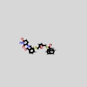 O=C1CCC(N2Cc3c(SCc4ccc(CSC(=O)C56CC7CC(CC(C7)C5)C6)o4)cccc3C2=O)C(=O)N1